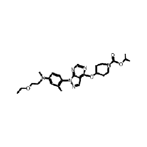 CCOCCN(C)c1ccc(-n2ncc3c(OC4CCN(C(=O)OC(C)C)CC4)ncnc32)c(C)c1